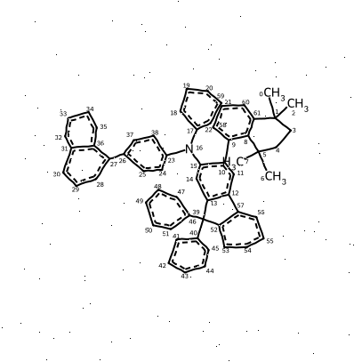 CC1(C)CCC(C)(C)c2c(-c3cc4c(cc3N(c3ccccc3)c3ccc(-c5cccc6ccccc56)cc3)C(c3ccccc3)(c3ccccc3)c3ccccc3-4)cccc21